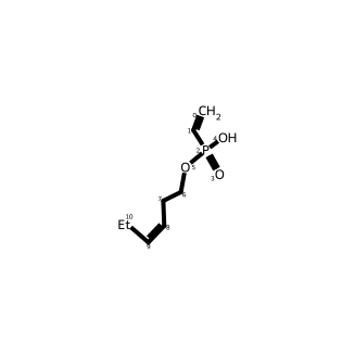 C=CP(=O)(O)OCC/C=C\CC